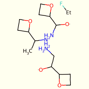 C[C](N)C1CCO1.NC([O])C1CCO1.NCC([O])C1CCO1.[CH2]CF